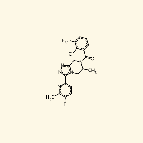 Cc1nc(-c2nnc3n2CC(C)N(C(=O)c2cccc(C(F)(F)F)c2Cl)C3)ccc1F